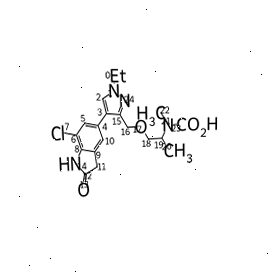 CCn1cc(-c2cc(Cl)c3c(c2)CC(=O)N3)c(COCC(C)N(C)C(=O)O)n1